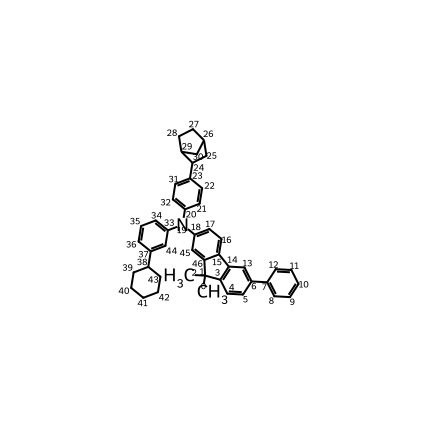 CC1(C)c2ccc(-c3ccccc3)cc2-c2ccc(N(c3ccc(C4CC5CCC4C5)cc3)c3cccc(C4CCCCC4)c3)cc21